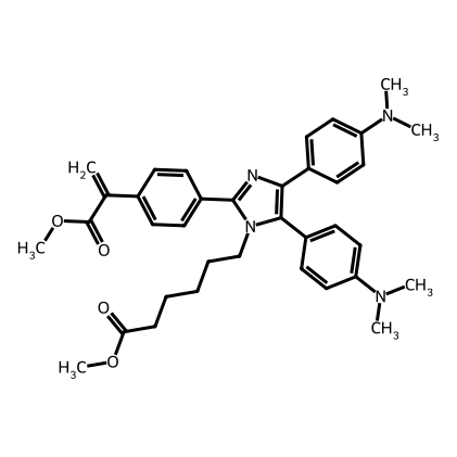 C=C(C(=O)OC)c1ccc(-c2nc(-c3ccc(N(C)C)cc3)c(-c3ccc(N(C)C)cc3)n2CCCCCC(=O)OC)cc1